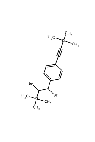 C[Si](C)(C)C#Cc1ccc(C(Br)C(Br)[Si](C)(C)C)nc1